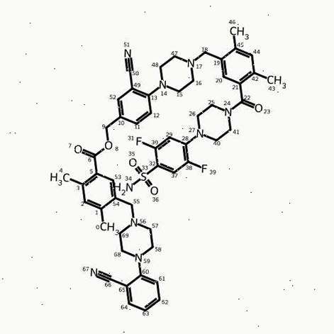 Cc1cc(C)c(C(=O)OCc2ccc(N3CCN(Cc4cc(C(=O)N5CCN(c6cc(F)c(S(N)(=O)=O)cc6F)CC5)c(C)cc4C)CC3)c(C#N)c2)cc1CN1CCN(c2ccccc2C#N)CC1